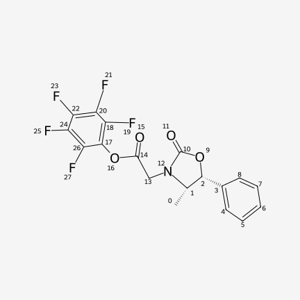 C[C@H]1[C@@H](c2ccccc2)OC(=O)N1CC(=O)Oc1c(F)c(F)c(F)c(F)c1F